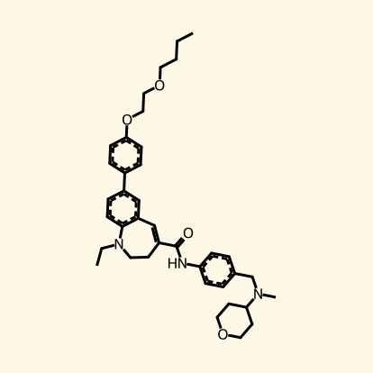 CCCCOCCOc1ccc(-c2ccc3c(c2)C=C(C(=O)Nc2ccc(CN(C)C4CCOCC4)cc2)CCN3CC)cc1